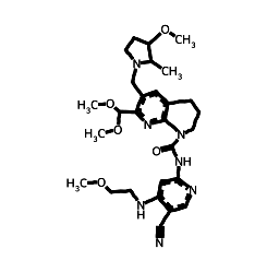 COCCNc1cc(NC(=O)N2CCCc3cc(CN4CCC(OC)C4C)c(C(OC)OC)nc32)ncc1C#N